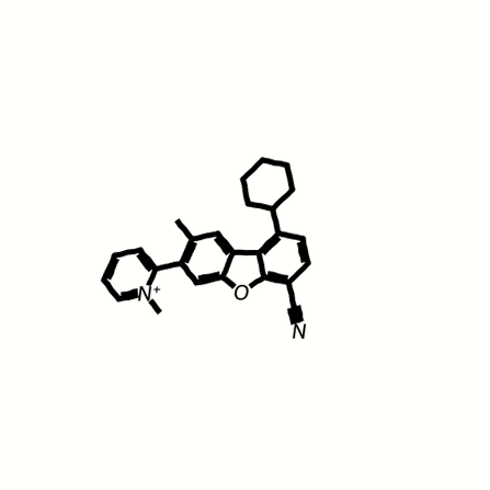 Cc1cc2c(cc1-c1cccc[n+]1C)oc1c(C#N)ccc(C3CCCCC3)c12